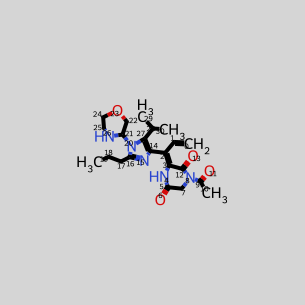 C=CC(=C1NC(=O)CN(C(C)=O)C1=O)c1nc(CCC)n(C2COCCN2)c1C(C)C